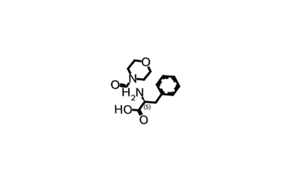 N[C@@H](Cc1ccccc1)C(=O)O.O=CN1CCOCC1